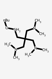 CCCCO[SiH2]CC(CN(C)C)(CN(C)C)CN(C)C